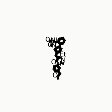 CCc1nc(C)n(-c2ccc3c(c2)CC(C)O3)c(=O)c1Cc1ccc(-c2ccccc2-c2noc(=O)[nH]2)cc1